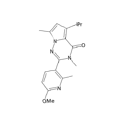 COc1ccc(-c2nn3c(C)cc(C(C)C)c3c(=O)n2C)c(C)n1